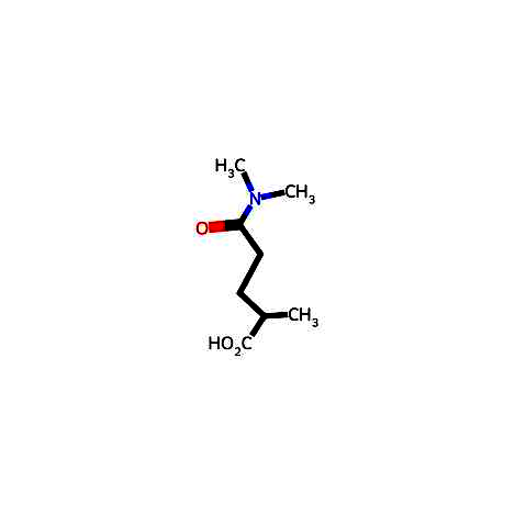 CC(CCC(=O)N(C)C)C(=O)O